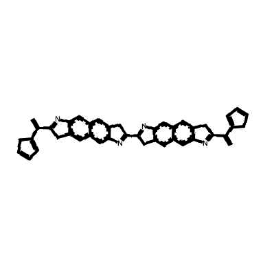 C=C(C1=CC=CC1)C1=Nc2cc3cc4c(cc3cc2C1)N=C(C1=Nc2cc3cc5c(cc3cc2C1)N=C(C(=C)C1=CC=CC1)C5)C4